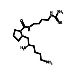 N=C(N)NCCCCNC(=O)[C@@H]1CCCN1C[C@@H](N)CCCCN